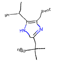 CCCCC(C)(C)c1nc(C(C)CCC)c(C(C)C(C)C)[nH]1